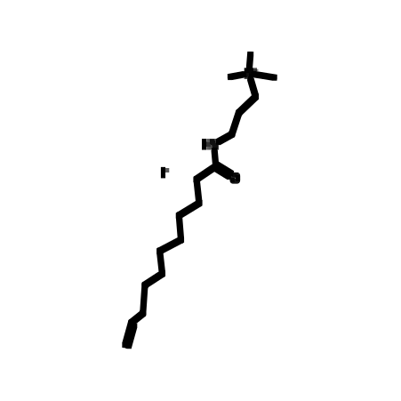 C=CCCCCCCCCC(=O)NCCC[N+](C)(C)C.[I-]